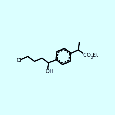 CCOC(=O)C(C)c1ccc(C(O)CCCCl)cc1